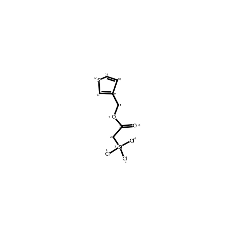 O=C(C[Si](Cl)(Cl)Cl)OCc1ccsc1